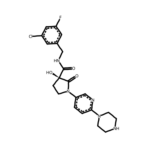 O=C(NCc1cc(F)cc(Cl)c1)[C@@]1(O)CCN(c2ccc(N3CCNCC3)nc2)C1=O